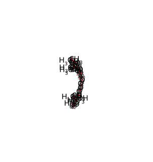 CC(C)(C)OC(=O)CN1CN(C(=O)OC(C)(C)C)c2cc(S(=O)(=O)N3CCC(c4ccc(OCCOCCOCCOCCOc5cc(C(C)(C)C)c(NC(=O)c6c[nH]c7ccccc7c6=O)cc5O)cc4)CC3)ccc2C1=O